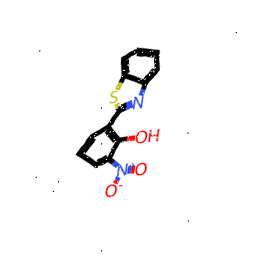 O=[N+]([O-])c1cccc(-c2nc3ccccc3s2)c1O